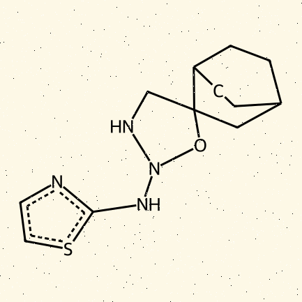 c1csc(NN2NCC3(CC4CCC3CC4)O2)n1